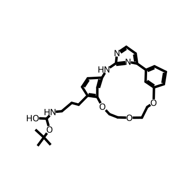 CC(C)(C)OC(O)NCCCc1ccc2cc1OCCOCCOc1cccc(c1)-c1ccnc(n1)N2